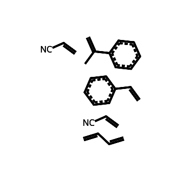 C=C(C)c1ccccc1.C=CC#N.C=CC#N.C=CC=C.C=Cc1ccccc1